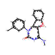 CNc1nc(=O)n(-c2cccc(C)c2)c2c1oc1ccccc12